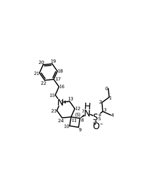 CCCC(C)[S+]([O-])N[C@H]1CCC12CCN(CCc1ccccc1)CC2